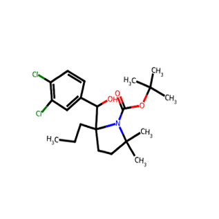 CCCC1(C(O)c2ccc(Cl)c(Cl)c2)CCC(C)(C)N1C(=O)OC(C)(C)C